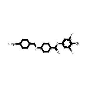 CCCCCCCC1CCC(COC2CCC(C(=O)Oc3cc(F)c(C#N)c(F)c3)CC2)CC1